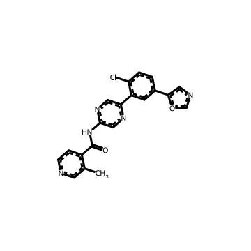 Cc1cnccc1C(=O)Nc1cnc(-c2cc(-c3cnco3)ccc2Cl)cn1